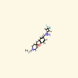 CN1CCC2(CC1)Cc1cc(CNC3CC(F)(F)C3)ccc1O2